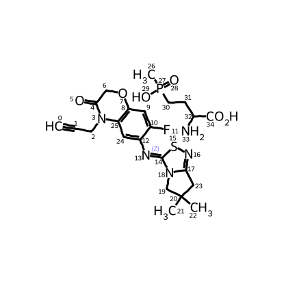 C#CCN1C(=O)COc2cc(F)c(/N=c3\snc4n3CC(C)(C)C4)cc21.CP(=O)(O)CCC(N)C(=O)O